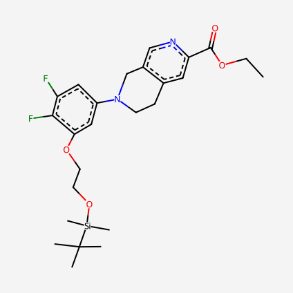 CCOC(=O)c1cc2c(cn1)CN(c1cc(F)c(F)c(OCCO[Si](C)(C)C(C)(C)C)c1)CC2